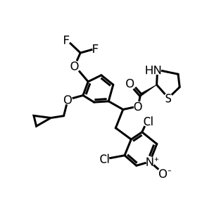 O=C(OC(Cc1c(Cl)c[n+]([O-])cc1Cl)c1ccc(OC(F)F)c(OCC2CC2)c1)[C@H]1NCCS1